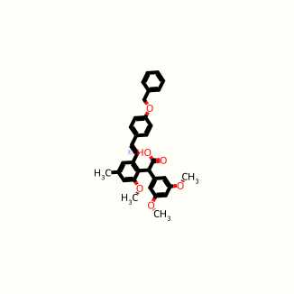 COc1cc(OC)cc(C(C(=O)O)c2c(/C=C/c3ccc(OCc4ccccc4)cc3)cc(C)cc2OC)c1